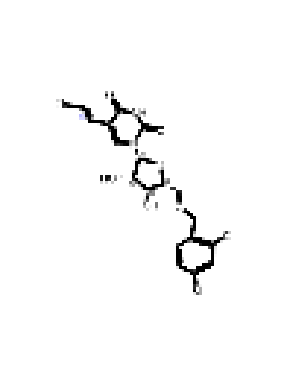 O=c1[nH]c(=O)n([C@@H]2O[C@H](COCc3ccc(Cl)cc3Cl)[C@@H](O)[C@@H]2O)cc1/C=C/Cl